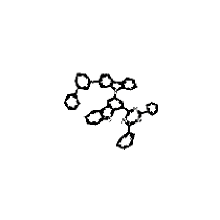 c1ccc(-c2cccc(-c3ccc4c5ccccc5n(-c5cc(-c6nc(-c7ccccc7)nc(-c7ccccc7)n6)c6sc7ccccc7c6c5)c4c3)c2)cc1